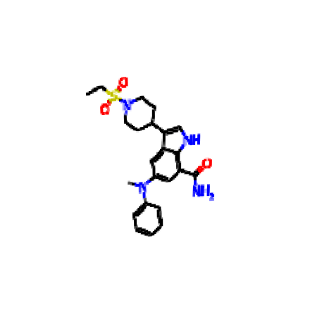 CCS(=O)(=O)N1CCC(c2c[nH]c3c(C(N)=O)cc(N(C)c4ccccc4)cc23)CC1